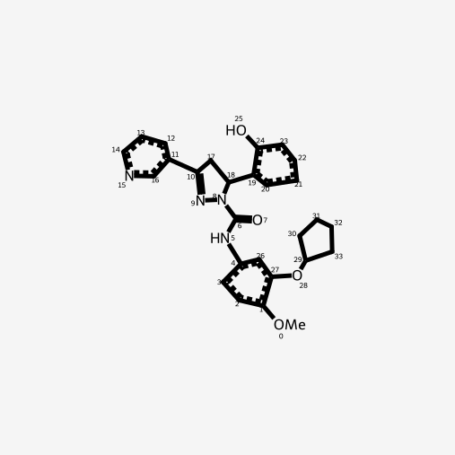 COc1ccc(NC(=O)N2N=C(c3cccnc3)CC2c2ccccc2O)cc1OC1CCCC1